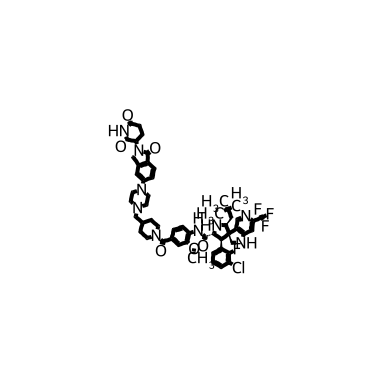 COc1cc(C(=O)N2CCC(CN3CCN(c4ccc5c(c4)CN(C4CCC(=O)NC4=O)C5=O)CC3)CC2)ccc1NC(=O)[C@@H]1N[C@@H](CC(C)(C)C)[C@@]2(CNc3cc(C(F)(F)F)ncc32)[C@H]1c1cccc(Cl)c1F